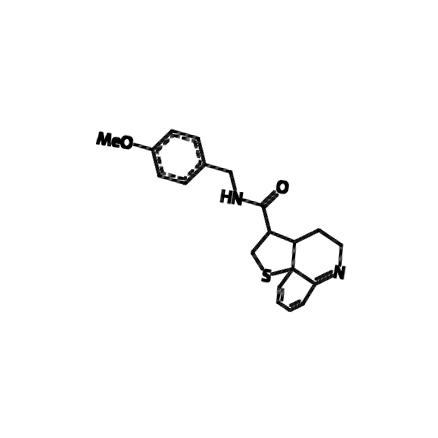 COc1ccc(CNC(=O)C2CSC34C=CC=CC3=NCCC24)cc1